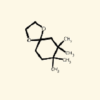 CC1(C)CCC2(CC1(C)C)OCCO2